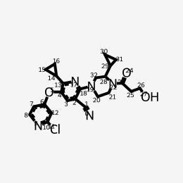 N#Cc1cc(Oc2ccnc(Cl)c2)c(C2CC2)nc1N1CCN(C(=O)CCO)C(C2CC2)C1